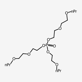 CCCOCCOCCOP(=O)(OCCOCCC)OCCOCCOCCC